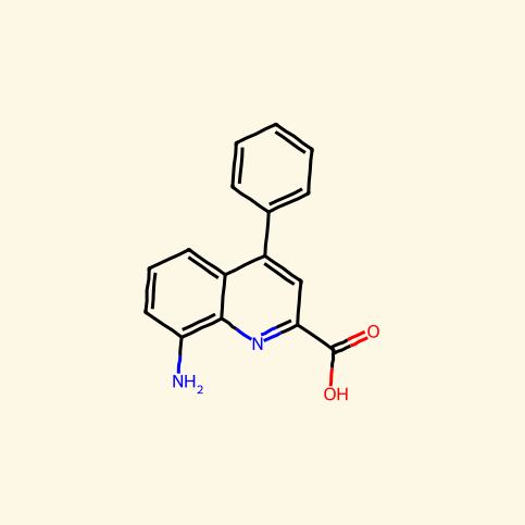 Nc1cccc2c(-c3ccccc3)cc(C(=O)O)nc12